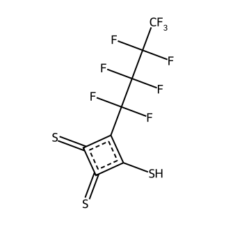 FC(F)(F)C(F)(F)C(F)(F)C(F)(F)c1c(S)c(=S)c1=S